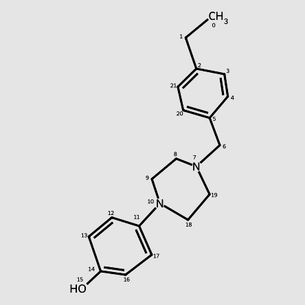 CCc1ccc(CN2CCN(c3ccc(O)cc3)CC2)cc1